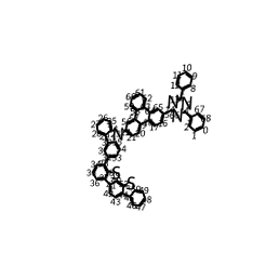 c1ccc(-c2nc(-c3ccccc3)nc(-c3ccc4c5ccc(-n6c7ccccc7c7cc(-c8cccc9c8sc8c9ccc9c%10ccccc%10sc98)ccc76)cc5c5ccccc5c4c3)n2)cc1